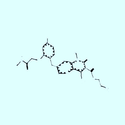 CNC(=O)COc1cc(F)ccc1Cc1cnc2c(O)c(C(=O)NCCO)c(=O)n(C)c2c1